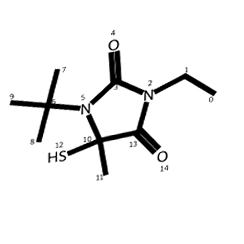 CCN1C(=O)N(C(C)(C)C)C(C)(S)C1=O